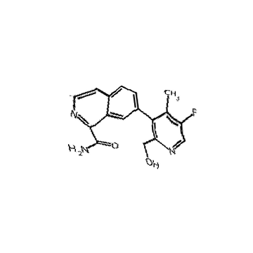 Cc1c(F)cnc(CO)c1-c1ccc2c[c]nc(C(N)=O)c2c1